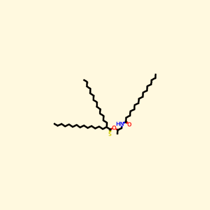 CCCCCCCCCCCCCCCC(=O)NCC(C)OC(=S)C(CCCCCCCCCCCCCC)CCCCCCCCCCCCCC